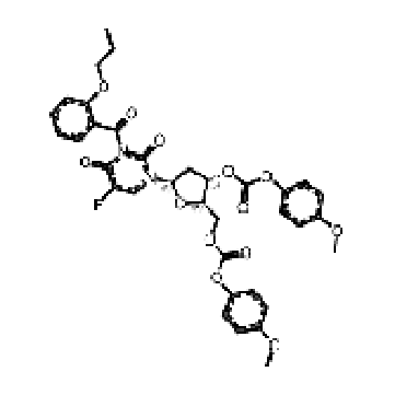 CCCOc1ccccc1C(=O)n1c(=O)c(F)cn([C@H]2C[C@H](OC(=O)Oc3ccc(OC)cc3)[C@@H](COC(=O)Oc3ccc(OC)cc3)O2)c1=O